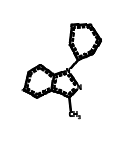 Cc1nn(-c2ccccc2)c2cc[c]cc12